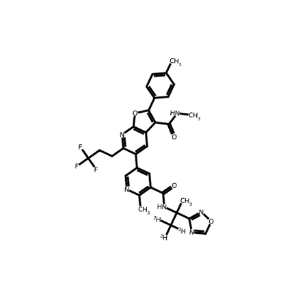 [2H]C([2H])([2H])C(C)(NC(=O)c1cc(-c2cc3c(C(=O)NC)c(-c4ccc(C)cc4)oc3nc2CCC(F)(F)F)cnc1C)c1ncon1